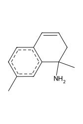 Cc1ccc2c(c1)C(C)(N)CC=C2